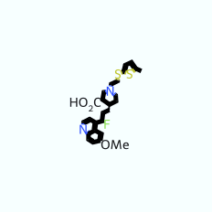 COc1ccc2nccc([C@@H](F)CC[C@@H]3CCN(CCSc4ccc(C)s4)C[C@@H]3C(=O)O)c2c1